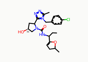 CCC(NC(=O)N1C[C@@H](O)CC1c1nnc(C)n1Cc1ccc(Cl)cc1)C1=CCC(C)O1